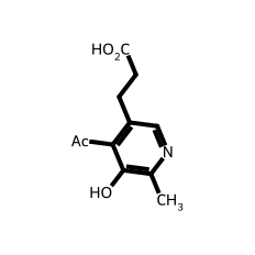 CC(=O)c1c(CCC(=O)O)cnc(C)c1O